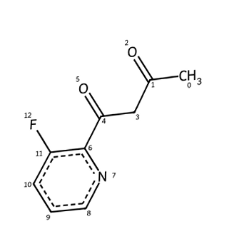 CC(=O)CC(=O)c1ncccc1F